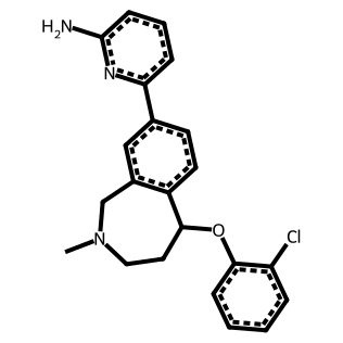 CN1CCC(Oc2ccccc2Cl)c2ccc(-c3cccc(N)n3)cc2C1